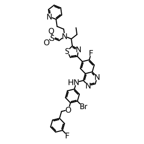 CCC(c1nc(-c2cc3c(Nc4ccc(OCc5cccc(F)c5)c(Br)c4)ncnc3cc2F)cs1)N(C=S(=O)=O)CCc1ccccn1